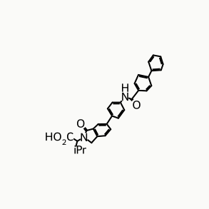 CC(C)C(C(=O)O)N1Cc2ccc(-c3ccc(NC(=O)c4ccc(-c5ccccc5)cc4)cc3)cc2C1=O